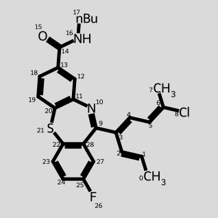 C/C=C/C(=C\C=C(/C)Cl)C1=Nc2cc(C(=O)NCCCC)ccc2Sc2ccc(F)cc21